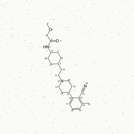 COCC(=O)NC1CCC(CCN2CCC(c3cccc(C)c3C#N)CC2)CC1